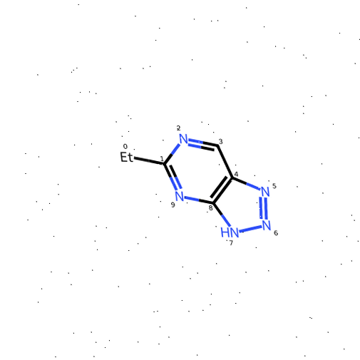 CCc1ncc2nn[nH]c2n1